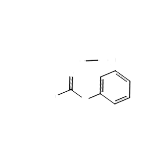 CC(C)C(=O)Oc1ccccc1.O=C(O)Cl